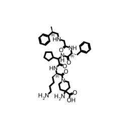 C[C@@H](CNCC(=O)N[C@H](Cc1ccccc1)C(=O)NC(C(=O)N[C@H](CCCCN)C(=O)N1CCC(N)(C(=O)O)CC1)C1CCCC1)c1ccccc1